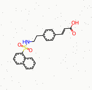 O=C(O)/C=C/c1ccc(CCNS(=O)(=O)c2cccc3ccccc23)cc1